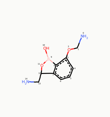 NCOc1cccc2c1B(O)OC2CN